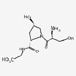 N[C@@H](CO)C(=O)N1C[C@H](O)C[C@H]1C(=O)NCC(=O)O